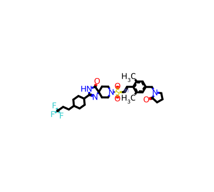 Cc1cc(CN2CCCC2=O)cc(C)c1/C=C/S(=O)(=O)N1CCC2(CC1)N=C(C1CCC(CCC(F)(F)F)CC1)NC2=O